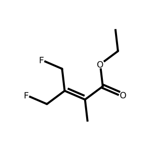 CCOC(=O)C(C)=C(CF)CF